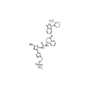 C[C@@H]1CCCCN1c1nnc2ccc(O[C@@H]3CC[C@H](NC(=O)Nc4cc(C(C)(C)C)nn4-c4cnn(CCOS(C)(=O)=O)c4)c4ccccc43)cn12